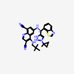 CC(C)(C)CNc1c(C#N)cnc2c(C#N)cc(N[C@H](C3=CN(C4(C)CC4)NN3)c3cccc4ncsc34)cc12